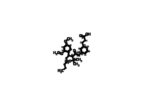 CCCCCC(c1ccc(OC)cc1OC)C(C(=O)Nc1cccc(CCC(=O)O)c1)C(C)(C)C